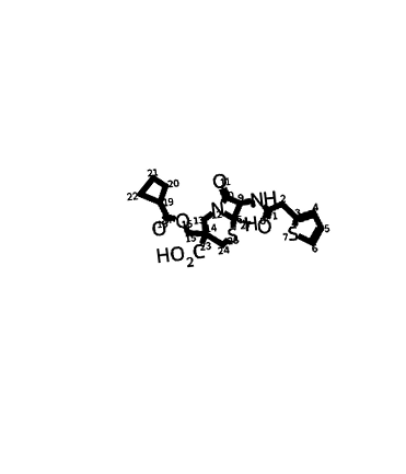 O=C(Cc1cccs1)NC1C(=O)N2CC(COC(=O)C3CCC3)(C(=O)O)CS[C@H]12